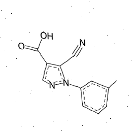 Cc1cccc(-n2ncc(C(=O)O)c2C#N)c1